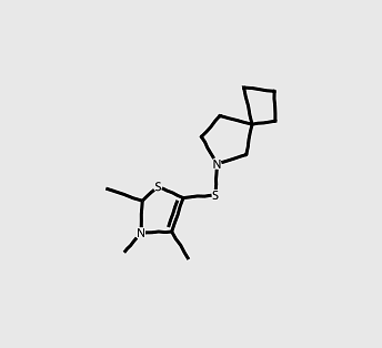 CC1=C(SN2CCC3(CCC3)C2)SC(C)N1C